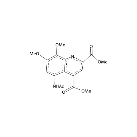 COC(=O)c1cc(C(=O)OC)c2c(NC(C)=O)cc(OC)c(OC)c2n1